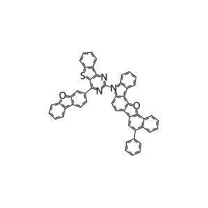 c1ccc(-c2cc3c4ccc5c(c6ccccc6n5-c5nc(-c6ccc7c(c6)oc6ccccc67)c6sc7ccccc7c6n5)c4oc3c3ccccc23)cc1